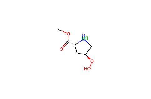 COC(=O)[C@H]1C[C@H](OO)CN1.Cl